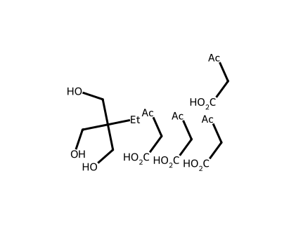 CC(=O)CC(=O)O.CC(=O)CC(=O)O.CC(=O)CC(=O)O.CC(=O)CC(=O)O.CCC(CO)(CO)CO